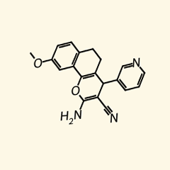 COc1ccc2c(c1)C1=C(CC2)C(c2cccnc2)C(C#N)=C(N)O1